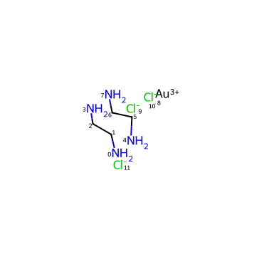 NCCN.NCCN.[Au+3].[Cl-].[Cl-].[Cl-]